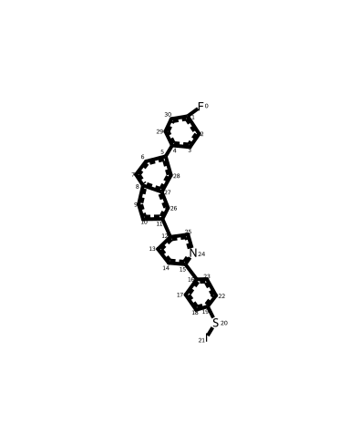 Fc1ccc(-c2ccc3ccc(-c4ccc(-c5ccc(SI)cc5)nc4)cc3c2)cc1